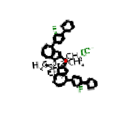 CCC1=CC2=C(C=CC=CC2c2ccc(-c3ccccc3)c(F)c2)[CH]1[Zr+2]([CH]1C(CC)=CC2=C1C=CC=CC2c1ccc(-c2ccccc2)c(F)c1)=[Si](C)C.[Cl-].[Cl-]